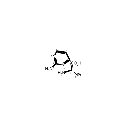 CC(C)[C@H](N)C(=O)O.Nc1ncccn1